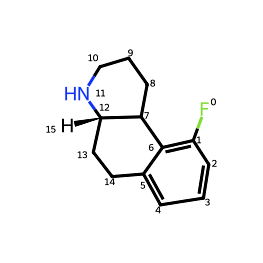 Fc1cccc2c1C1CCCN[C@H]1CC2